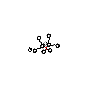 C1CO1.c1ccc(CCc2cc(CCc3ccccc3)c(Oc3c(CCc4ccccc4)cc(CCc4ccccc4)cc3CCc3ccccc3)c(CCc3ccccc3)c2)cc1